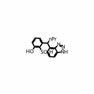 CCCC(c1cccc(O)c1S(=O)(=O)O)c1cccc2[nH]nnc12